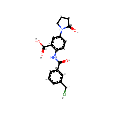 O=C(Nc1ccc(N2CCCC2=O)cc1C(=O)O)c1cccc(CCl)c1